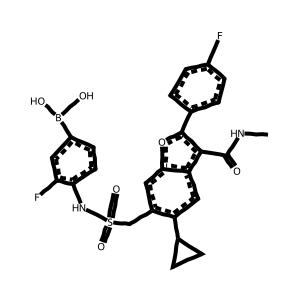 CNC(=O)c1c(-c2ccc(F)cc2)oc2cc(CS(=O)(=O)Nc3ccc(B(O)O)cc3F)c(C3CC3)cc12